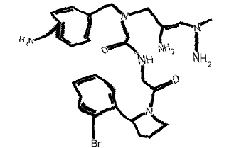 CN(N)/C=C(\N)CN(Cc1ccc(N)cc1)C(=O)NCC(=O)N1CCCC1c1ccccc1Br